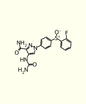 NC(=O)Nc1cn(-c2ccc([S+]([O-])c3ccccc3F)cc2)nc1C(N)=O